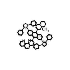 CC12CCC=CC1=CC=C(c1c3cc(N4C(c5ccccc5)=CCC4c4ccccc4)ccc3c(-c3ccc4ccc5cccnc5c4n3)c3cc(-n4c(-c5ccccc5)ccc4-c4ccccc4)ccc13)C2